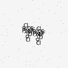 Cc1c(-c2ccc(Cl)cc2)c(C(=O)N2CC(F)(F)C2)n(-c2cccc(Cl)c2)c1C(F)(F)F.Cc1c(-c2ccc(Cl)cc2)c(C(=O)N2CC(F)(F)C2)n(-c2cccc(Cl)c2)c1C(F)(F)F